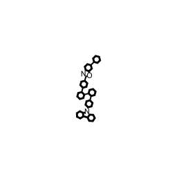 c1ccc(-c2ccc3nc(-c4ccc(-c5ccccc5-c5ccccc5-c5ccc(-n6c7ccccc7c7ccccc76)cc5)cc4)oc3c2)cc1